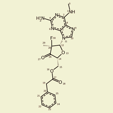 CNc1nc(N)nc2c1ncn2[C@@H]1O[C@H](COC(=O)Cc2ccccc2)C(=O)[C@@]1(C)F